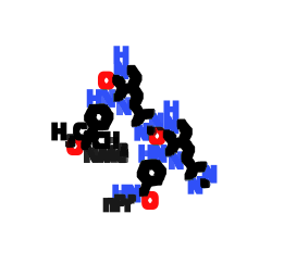 CCCNC(=O)c1ccc(Nc2nc(-c3cncnc3)cc3cc[nH]c(=O)c23)cc1.CNC(=O)C(C)(C)c1ccc(Nc2nc(-c3cncnc3)cc3cc[nH]c(=O)c23)cc1